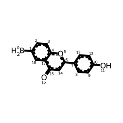 Bc1ccc2oc(-c3ccc(O)cc3)cc(=O)c2c1